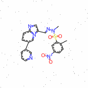 Cc1ccc([N+](=O)[O-])cc1S(=O)(=O)N(C)/N=C/c1cnc2ccc(-c3cccnc3)cn12